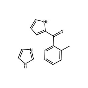 Cc1ccccc1C(=O)c1ccc[nH]1.c1c[nH]cn1